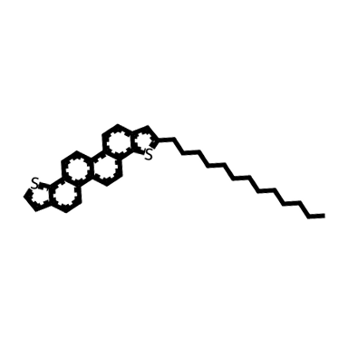 CCCCCCCCCCCCCc1cc2ccc3c4ccc5c(ccc6ccsc65)c4ccc3c2s1